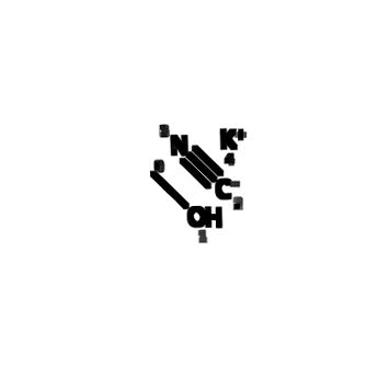 CO.[C-]#N.[K+]